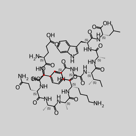 CC[C@H](C)[C@H](NC(=O)[C@H](Cc1ccccc1)NC(=O)[C@H](CCC(=O)O)NC(=O)[C@H](CCCCN)NC(=O)[C@H](C)NC(=O)[C@H](C)NC(=O)[C@H](CCC(N)=O)NC(=O)CNC(=O)[C@@H](N)CCC(=O)O)C(=O)N[C@@H](C)C(=O)N[C@@H](Cc1c[nH]c2ccccc12)C(=O)N[C@@H](CC(C)C)C(=O)O